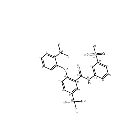 CN(C)c1ccccc1Oc1ncc(C(F)(F)F)cc1C(=O)Nc1cccc(S(C)(=O)=O)c1